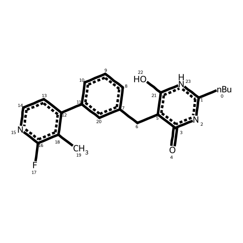 CCCCc1nc(=O)c(Cc2cccc(-c3ccnc(F)c3C)c2)c(O)[nH]1